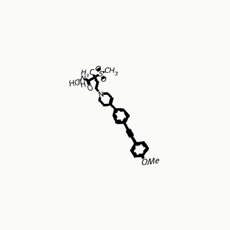 COc1ccc(C#Cc2ccc(C3=CCN(CCC(C)(C(=O)NO)S(C)(=O)=O)CC3)cc2)cc1